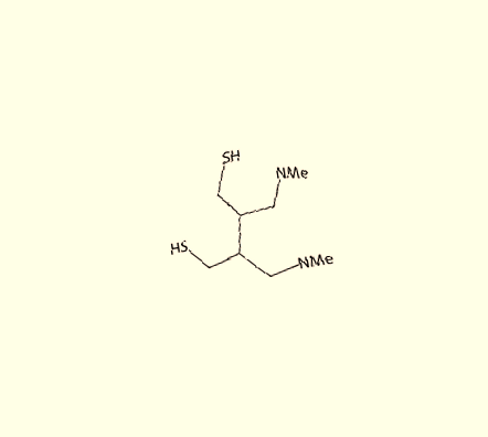 CNCC(CS)C(CS)CNC